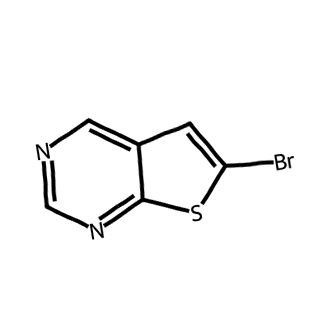 Brc1cc2cncnc2s1